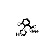 CNC(=O)C1=C(N2CCNC2)C(=O)CC=C1